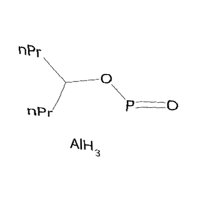 CCCC(CCC)OP=O.[AlH3]